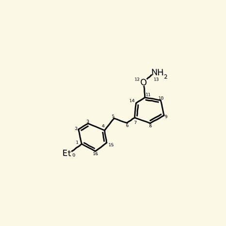 CCc1ccc(CCc2cccc(ON)c2)cc1